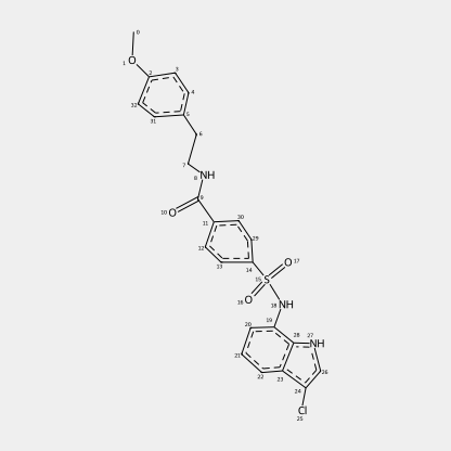 COc1ccc(CCNC(=O)c2ccc(S(=O)(=O)Nc3cccc4c(Cl)c[nH]c34)cc2)cc1